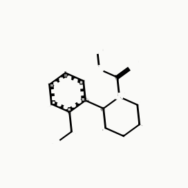 CC(C)(C)OC(=O)N1CCCCC1c1ccccc1CO